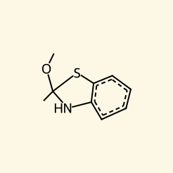 COC1(C)Nc2ccccc2S1